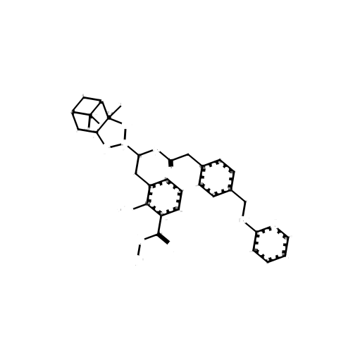 COc1c(CC(NC(=O)Cc2ccc(CNc3ccccn3)cc2)B2OC3CC4CC(C4(C)C)C3(C)O2)cccc1C(=O)OC(C)(C)C